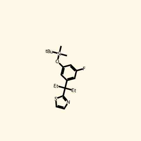 CCC(CC)(c1cc(F)cc(O[Si](C)(C)C(C)(C)C)c1)c1nccs1